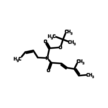 C/C=C\CN(C(=O)/C=C/C(C)=C/C)C(=O)OC(C)(C)C